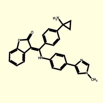 Cn1cnc(-c2ccc(NC(=C3C(=O)Oc4ccccc43)c3ccc(C4(N)CC4)cc3)cc2)c1